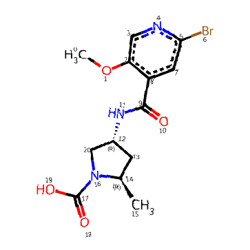 COc1cnc(Br)cc1C(=O)N[C@@H]1C[C@@H](C)N(C(=O)O)C1